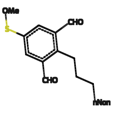 CCCCCCCCCCCCc1c(C=O)cc(SOC)cc1C=O